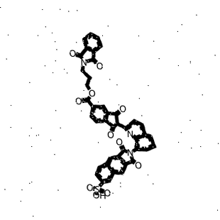 O=C(OCCCN1C(=O)c2ccccc2C1=O)c1ccc2c(c1)C(=O)C(c1ccc3cccc(N4C(=O)c5cc6ccc(S(=O)(=O)O)cc6cc5C4=O)c3n1)C2=O